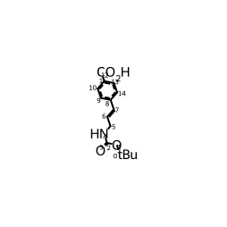 CC(C)(C)OC(=O)NCC=Cc1ccc(C(=O)O)cc1